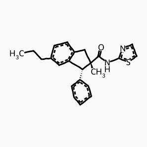 CCCc1ccc2c(c1)[C@@H](c1ccccc1)[C@@](C)(C(=O)Nc1nccs1)C2